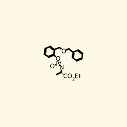 CCOC(=O)[C@H](C)/N=[P+](\[O-])Oc1ccccc1COCc1ccccc1